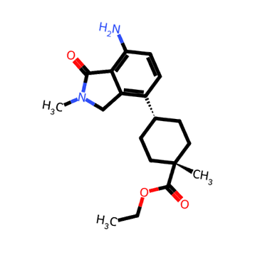 CCOC(=O)[C@]1(C)CC[C@H](c2ccc(N)c3c2CN(C)C3=O)CC1